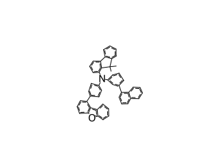 CC1(C)c2ccccc2-c2cccc(N(c3ccc(-c4cccc5oc6ccccc6c45)cc3)c3cccc(-c4cccc5ccccc45)c3)c21